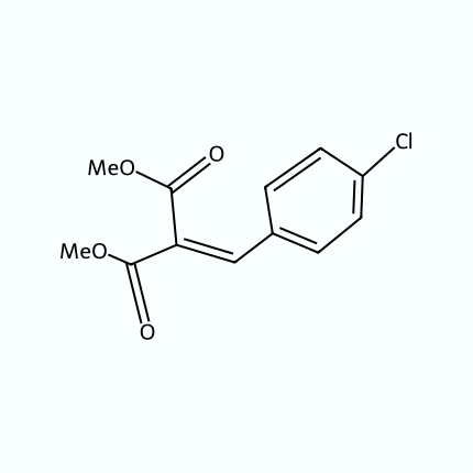 COC(=O)C(=Cc1ccc(Cl)cc1)C(=O)OC